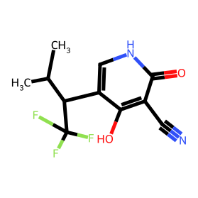 CC(C)C(c1c[nH]c(=O)c(C#N)c1O)C(F)(F)F